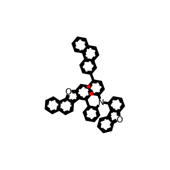 c1ccc(N(c2ccc(-c3ccc4c(ccc5ccccc54)c3)cc2)c2cccc3oc4ccccc4c23)c(-c2cccc3oc4c5ccccc5ccc4c23)c1